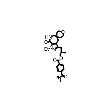 CCn1nc(CC(C)COC(=O)c2ccc(C(=O)N(C)C)cc2)c2c1C(=O)NCC1(CCOCC1)C2